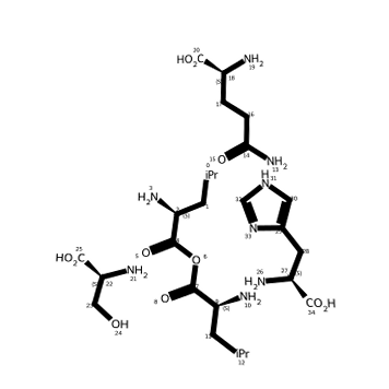 CC(C)C[C@H](N)C(=O)OC(=O)[C@@H](N)CC(C)C.NC(=O)CC[C@H](N)C(=O)O.N[C@@H](CO)C(=O)O.N[C@@H](Cc1c[nH]cn1)C(=O)O